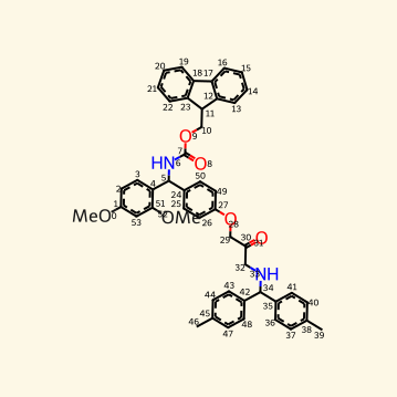 COc1ccc(C(NC(=O)OCC2c3ccccc3-c3ccccc32)c2ccc(OCC(=O)CNC(c3ccc(C)cc3)c3ccc(C)cc3)cc2)c(OC)c1